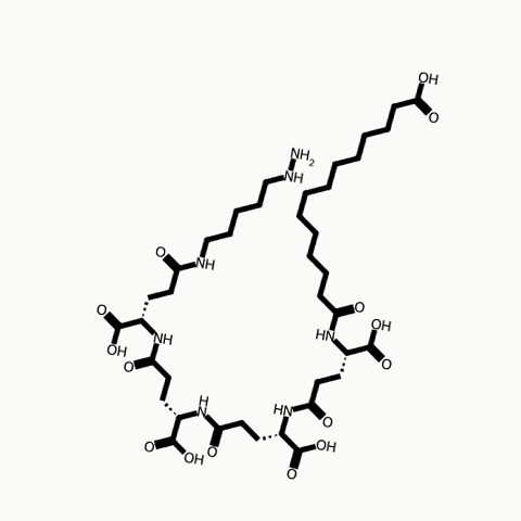 NNCCCCCNC(=O)CC[C@H](NC(=O)CC[C@H](NC(=O)CC[C@H](NC(=O)CC[C@H](NC(=O)CCCCCCCCCCCCC(=O)O)C(=O)O)C(=O)O)C(=O)O)C(=O)O